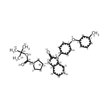 Cc1cccc(Oc2ccc(-n3c(=O)n([C@@H]4CCN(C(=O)OC(C)(C)C)C4)c4ccncc43)cc2)c1